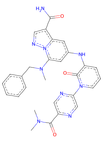 CN(C)C(=O)c1cnc(-n2cccc(Nc3cc(N(C)Cc4ccccc4)n4ncc(C(N)=O)c4c3)c2=O)cn1